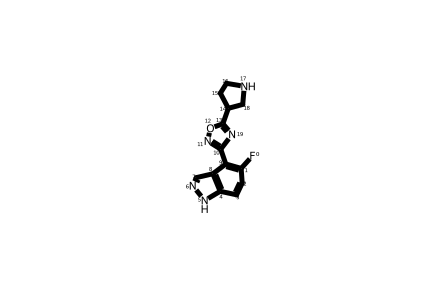 Fc1ccc2[nH]ncc2c1-c1noc(C2CCNC2)n1